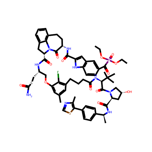 CCOP(=O)(OCC)C(=O)c1ccc2[nH]c(C(=O)N[C@H]3CCc4cccc5c4N(C3=O)[C@H](C(=O)N[C@@H](CCC(N)=O)COc3cc(C)cc(CCCC(=O)N[C@H](C(=O)N4C[C@H](O)C[C@H]4C(=O)N[C@@H](C)c4ccc(-c6scnc6C)cc4)C(C)(C)C)c3F)C5)cc2c1